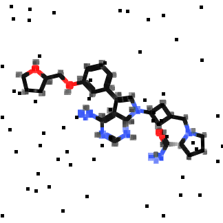 NC(=O)[C@H]1CCCN1CC1CC(n2cc(-c3cccc(OCC4CCCO4)c3)c3c(N)ncnc32)C1